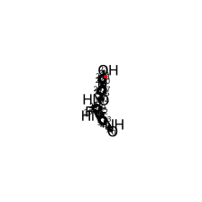 O=CNc1ccc(Nc2ccc(NC(=O)c3ccc(N4CCC(O)CC4)cc3)cc2F)c(F)c1